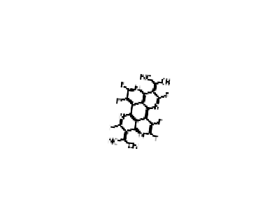 N#CC(C#N)=c1c(F)nc2c3c(F)c(F)nc4c(=C(C#N)C#N)c(F)nc(c5c(F)c(F)nc1c25)c43